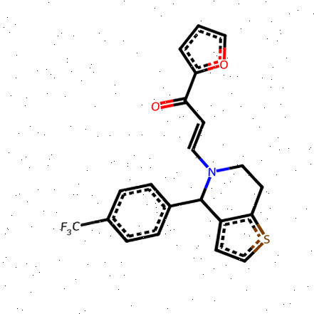 O=C(C=CN1CCc2sccc2C1c1ccc(C(F)(F)F)cc1)c1ccco1